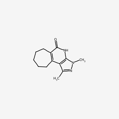 Cc1nn(C)c2[nH]c(=O)c3c(c12)CCCCC3